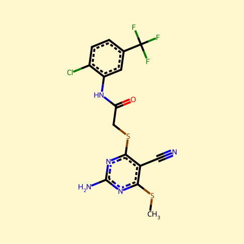 CSc1nc(N)nc(SCC(=O)Nc2cc(C(F)(F)F)ccc2Cl)c1C#N